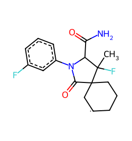 CC1(F)C(C(N)=O)N(c2cccc(F)c2)C(=O)C12C[CH]CCC2